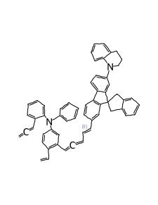 C=C=Cc1ccccc1N(c1ccccc1)c1ccc(C=C)c(C=C=C/C=C/c2ccc3c(c2)C2(Cc4ccccc4C2)c2cc(N4CCCc5ccccc54)ccc2-3)c1